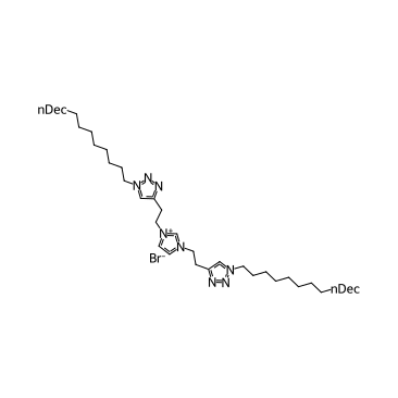 CCCCCCCCCCCCCCCCCCn1cc(CCn2cc[n+](CCc3cn(CCCCCCCCCCCCCCCCCC)nn3)c2)nn1.[Br-]